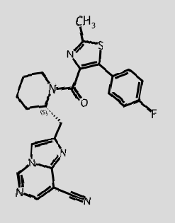 Cc1nc(C(=O)N2CCCC[C@H]2Cc2cn3cncc(C#N)c3n2)c(-c2ccc(F)cc2)s1